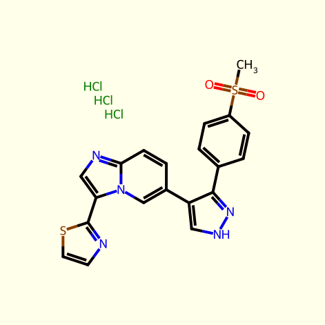 CS(=O)(=O)c1ccc(-c2n[nH]cc2-c2ccc3ncc(-c4nccs4)n3c2)cc1.Cl.Cl.Cl